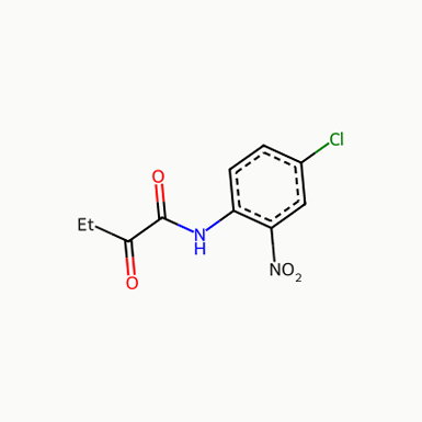 CCC(=O)C(=O)Nc1ccc(Cl)cc1[N+](=O)[O-]